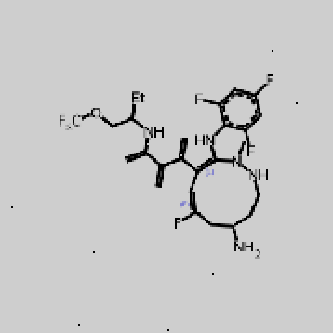 C=C(NC(CC)COC(F)(F)F)C(=C)C(=C)C1=C(\Nc2c(F)cc(F)cc2F)N(C)NCCC(N)C/C(F)=C\1